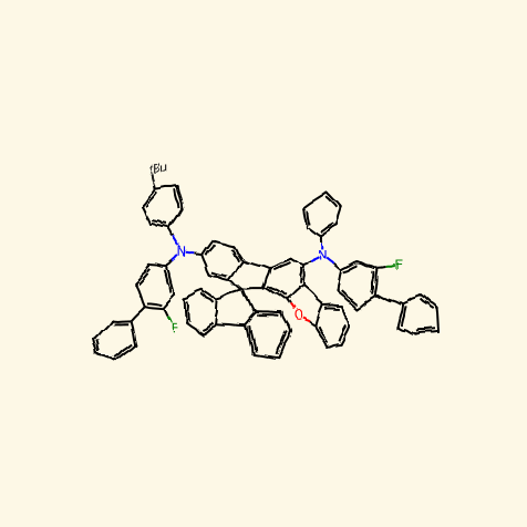 CC(C)(C)c1ccc(N(c2ccc(-c3ccccc3)c(F)c2)c2ccc3c(c2)C2(c4ccccc4-c4ccccc42)c2c-3cc(N(c3ccccc3)c3ccc(-c4ccccc4)c(F)c3)c3c2oc2ccccc23)cc1